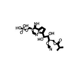 CC(C)C(=O)OC[C@@H](OC#N)[C@@H](O)[C@@H](O)c1ccc2c(=N)n(COP(=O)(O)O)cnn12